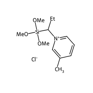 CCC([n+]1cccc(C)c1)[Si](OC)(OC)OC.[Cl-]